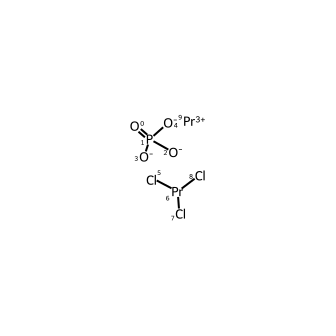 O=P([O-])([O-])[O-].[Cl][Pr]([Cl])[Cl].[Pr+3]